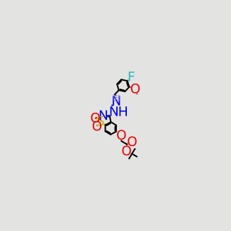 COc1cc(/C=N/CNC2=NS(=O)(=O)c3ccc(OCC(=O)OC(C)(C)C)cc32)ccc1F